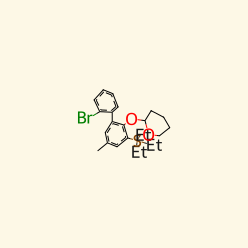 CCS(CC)(CC)c1cc(C)cc(-c2ccccc2Br)c1OC1CCCCO1